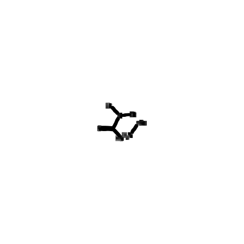 CCCCN.CCN(CC)C(=S)S